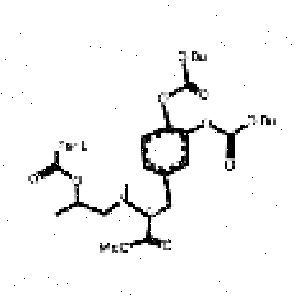 CCCC(C)C(=O)OC(C)CN[C@@H](Cc1ccc(OC(=O)OCC(C)C)c(OC(=O)OCC(C)C)c1)C(=O)OC